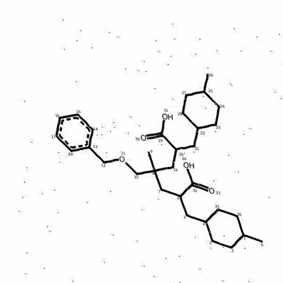 CC1CCC(CC(CC(C)(COCc2ccccc2)CC(CC2CCC(C)CC2)C(=O)O)C(=O)O)CC1